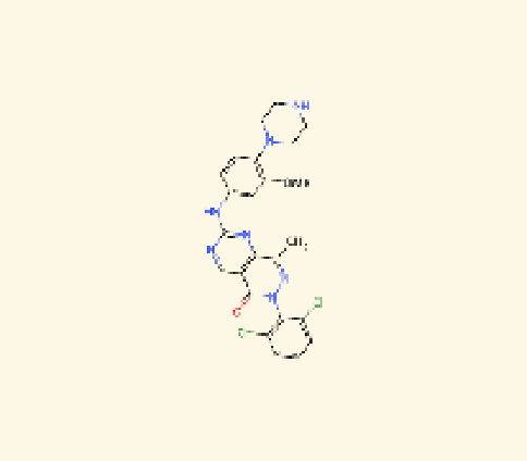 COc1cc(Nc2ncc3c(=O)n(-c4c(Cl)cccc4Cl)nc(C)c3n2)ccc1N1CCNCC1